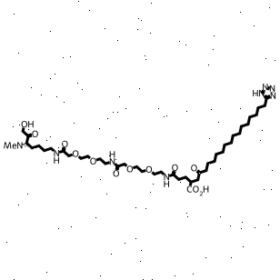 CN[C@@H](CCCCNC(=O)COCCOCCNC(=O)COCCOCCNC(=O)CCC(CC(=O)CCCCCCCCCCCCCCCc1nnn[nH]1)C(=O)O)C(=O)CO